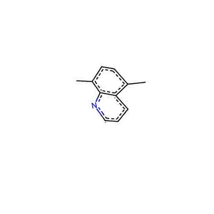 Cc1ccc(C)c2n[c]ccc12